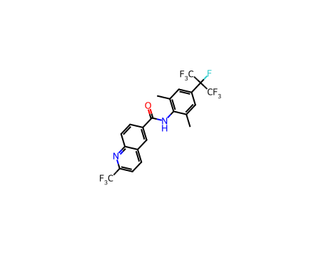 Cc1cc(C(F)(C(F)(F)F)C(F)(F)F)cc(C)c1NC(=O)c1ccc2nc(C(F)(F)F)ccc2c1